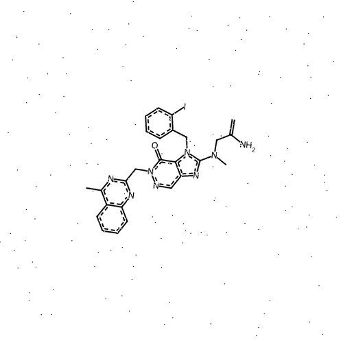 C=C(N)CN(C)c1nc2cnn(Cc3nc(C)c4ccccc4n3)c(=O)c2n1Cc1ccccc1I